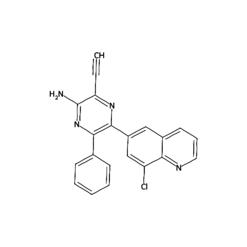 C#Cc1nc(-c2cc(Cl)c3ncccc3c2)c(-c2ccccc2)nc1N